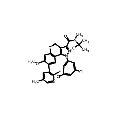 COc1cc2c(cc1-c1cc(C)cnc1F)-c1c(c(C(=O)N(C)C(C)(C)C)nn1-c1cc(Cl)cc(Cl)c1)CO2